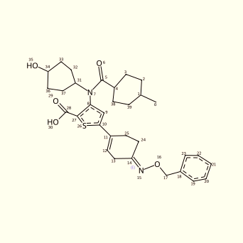 CC1CCC(C(=O)N(c2cc(C3=CC/C(=N/OCc4ccccc4)CC3)sc2C(=O)O)C2CCC(O)CC2)CC1